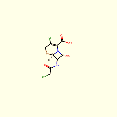 O=C(CBr)NC1C(=O)N2C(C(=O)O)=C(Cl)CS[C@H]12